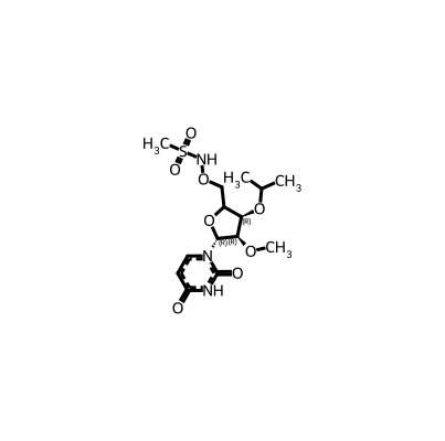 CO[C@@H]1[C@H](OC(C)C)C(CONS(C)(=O)=O)O[C@H]1n1ccc(=O)[nH]c1=O